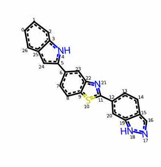 c1ccc2[nH]c(-c3ccc4sc(-c5ccc6cn[nH]c6c5)nc4c3)cc2c1